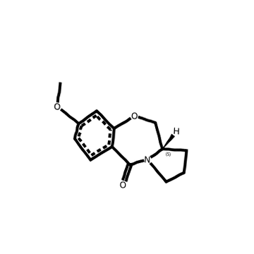 COc1ccc2c(c1)OC[C@@H]1CCCN1C2=O